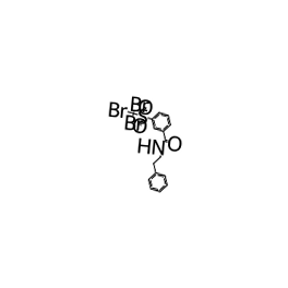 O=C(NCCc1ccccc1)c1cccc(S(=O)(=O)C(Br)(Br)Br)c1